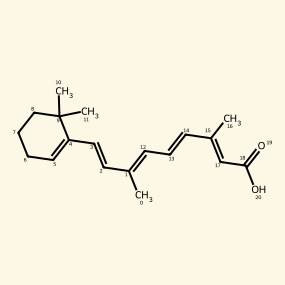 CC(C=CC1=CCCCC1(C)C)=CC=CC(C)=CC(=O)O